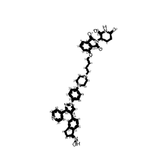 O=C1CCC(N2C(=O)c3cccc(OCCCCN4CCN(c5ccc(-n6cc(-c7ccc8c(c7)CCC8=NO)c(-c7ccncc7)n6)cc5)CC4)c3C2=O)C(=O)N1